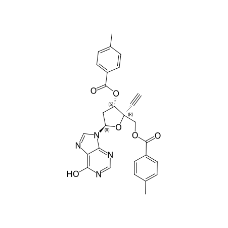 C#C[C@]1(COC(=O)c2ccc(C)cc2)O[C@@H](n2cnc3c(O)ncnc32)C[C@@H]1OC(=O)c1ccc(C)cc1